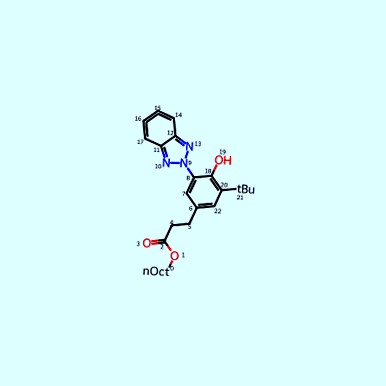 CCCCCCCCOC(=O)CCc1cc(-n2nc3c(n2)C=C=C=C3)c(O)c(C(C)(C)C)c1